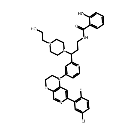 O=C(NCCC(c1cc(N2CCOc3cnc(-c4cc(Cl)ccc4F)cc32)ccn1)N1CCN(CCO)CC1)c1ccccc1O